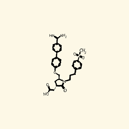 CS(=O)(=O)c1ccc(CCCN2C(=O)[C@H](CC(=O)O)C[C@H]2COc2ccc(-c3ccc(C(=N)N)cc3)cc2)cc1